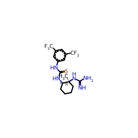 C[C@]1(NC(=N)N)CCCC[C@H]1NC(=S)Nc1cc(C(F)(F)F)cc(C(F)(F)F)c1